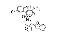 NC(=O)c1[nH]c2ccc(Cl)cc2c1S(=O)(=O)N1CCC2(CCCO2)C(c2cc3ccccc3o2)C1